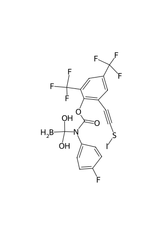 BC(O)(O)N(C(=O)Oc1c(C#CSI)cc(C(F)(F)F)cc1C(F)(F)F)c1ccc(F)cc1